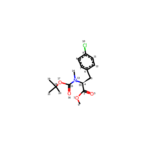 COC(=O)[C@H](Cc1ccc(Cl)cc1)N(C)C(=O)OC(C)(C)C